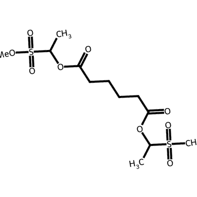 COS(=O)(=O)C(C)OC(=O)CCCCC(=O)OC(C)S(C)(=O)=O